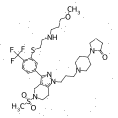 COCCCNCCSc1cc(-c2nn(CCCN3CCC(N4CCCC4=O)CC3)c3c2CN(S(C)(=O)=O)CC3)ccc1C(F)(F)F